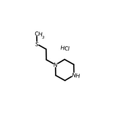 CSCCN1CCNCC1.Cl